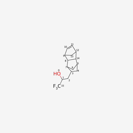 OC(CC1CC2CC1C1C3C=CC(C3)C21)C(F)(F)F